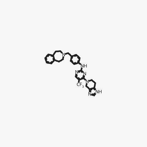 FC(F)(F)c1cnc(Nc2ccc(CN3CCc4ccccc4CC3)cc2)nc1N1CCc2[nH]cnc2C1